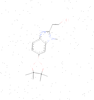 Cn1c(CCO)nc2ccc(B3OC(C)(C)C(C)(C)O3)cc21